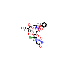 CC(C)C(=O)OC[C@H](C)NP(=O)(OC[C@H]1O[C@@H](n2ccc(=O)[nH]c2=O)[C@](Cl)(Br)[C@@H]1O)Oc1ccccc1